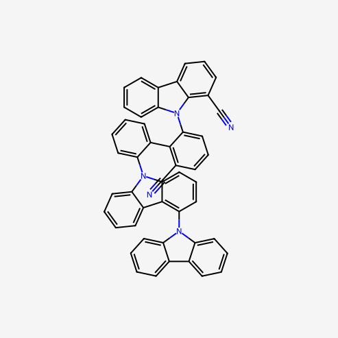 N#Cc1cccc(-n2c3ccccc3c3cccc(C#N)c32)c1-c1ccccc1-n1c2ccccc2c2c(-n3c4ccccc4c4ccccc43)cccc21